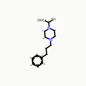 CCC([C]=O)N1CCN(CCCc2ccccc2)CC1